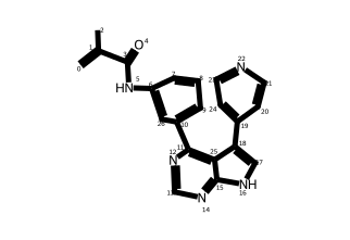 C=C(C)C(=O)Nc1cccc(-c2ncnc3[nH]cc(-c4ccncc4)c23)c1